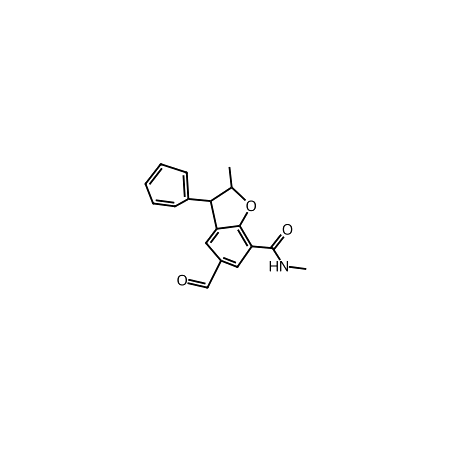 CNC(=O)c1cc(C=O)cc2c1OC(C)C2c1ccccc1